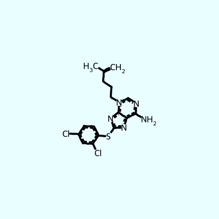 C=C(C)CCCn1cnc(N)c2nc(Sc3ccc(Cl)cc3Cl)nc1-2